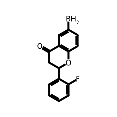 Bc1ccc2c(c1)C(=O)CC(c1ccccc1F)O2